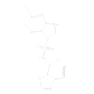 O=S(=O)(Nc1cccc2nsnc12)c1c[nH]c2nc(Cl)ccc12